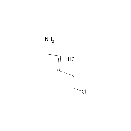 Cl.NCC=CCCCl